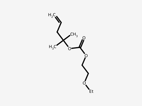 C=CCC(C)(C)OC(=O)OCCOCC